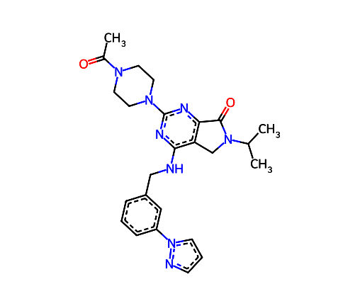 CC(=O)N1CCN(c2nc(NCc3cccc(-n4cccn4)c3)c3c(n2)C(=O)N(C(C)C)C3)CC1